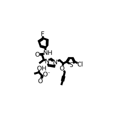 CC#CCOC(C[n+]1ccn(C(C)C(=O)Nc2ccc(F)cc2)c1)c1ccc(Cl)s1.CC(O)C(=O)[O-]